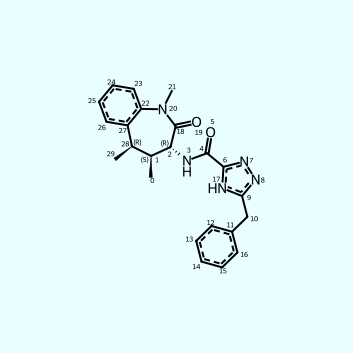 C[C@@H]1[C@@H](NC(=O)c2nnc(Cc3ccccc3)[nH]2)C(=O)N(C)c2ccccc2[C@@H]1C